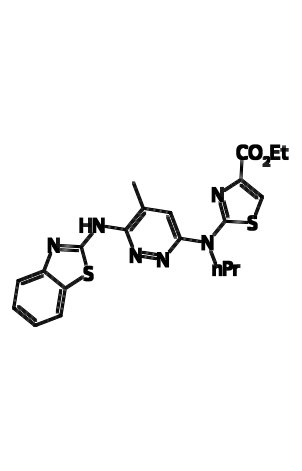 CCCN(c1cc(C)c(Nc2nc3ccccc3s2)nn1)c1nc(C(=O)OCC)cs1